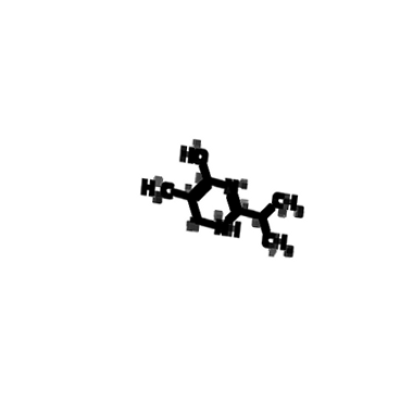 CC1=C(O)N=C(C(C)C)N[CH]1